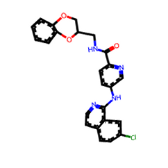 O=C(NCC1COc2ccccc2O1)c1ccc(Nc2nccc3ccc(Cl)cc23)cn1